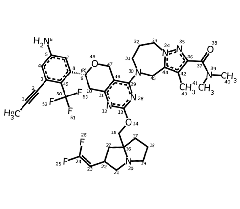 CC#Cc1cc(N)cc([C@H]2Cc3nc(OCC45CCCN4CC(C=C(F)F)C5)nc(N4CCCn5nc(C(=O)N(C)C)c(C)c5C4)c3CO2)c1C(F)(F)F